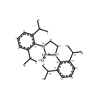 CC(C)c1cccc(C(C)C)c1N1CCN(c2c(C(C)C)cccc2C(C)C)[PH]1=O